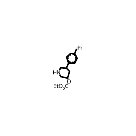 CCOC(=O)OC1CNCC(c2ccc(C(C)C)cc2)C1